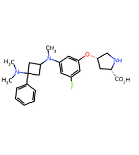 CN(c1cc(F)cc(O[C@@H]2CN[C@H](C(=O)O)C2)c1)C1CC(c2ccccc2)(N(C)C)C1